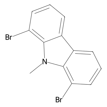 Cn1c2c(Br)cccc2c2cccc(Br)c21